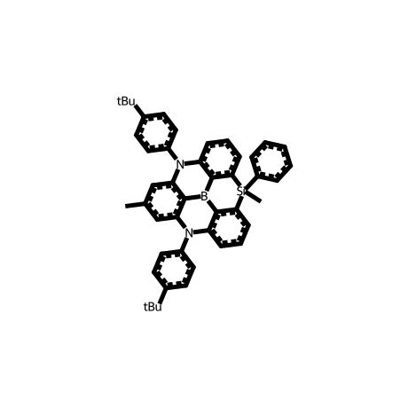 Cc1cc2c3c(c1)N(c1ccc(C(C)(C)C)cc1)c1cccc4c1B3c1c(cccc1[Si]4(C)c1ccccc1)N2c1ccc(C(C)(C)C)cc1